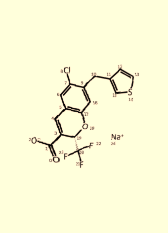 O=C([O-])C1=Cc2cc(Cl)c(Cc3ccsc3)cc2O[C@@H]1C(F)(F)F.[Na+]